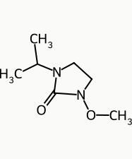 CON1CCN(C(C)C)C1=O